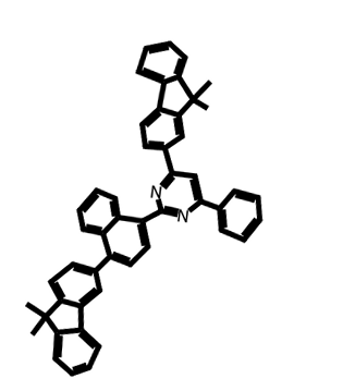 CC1(C)c2ccccc2-c2cc(-c3ccc(-c4nc(-c5ccccc5)cc(-c5ccc6c(c5)C(C)(C)c5ccccc5-6)n4)c4ccccc34)ccc21